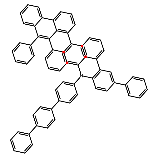 c1ccc(-c2ccc(-c3ccc(N(c4ccc(-c5cccc6c5c(-c5ccccc5)c(-c5ccccc5)c5ccccc56)cc4)c4ccc(-c5ccccc5)cc4-c4ccccc4)cc3)cc2)cc1